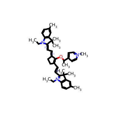 CCN1/C(=C/C=C2\CCC(/C=C/C3=[N+](CC)c4ccc(C)cc4C3(C)C)=C2OC(C)c2cc[n+](C)cc2)C(C)(C)c2cc(C)ccc21